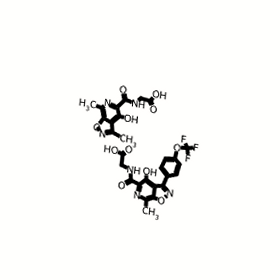 Cc1nc(C(=O)NCC(=O)O)c(O)c2c(-c3ccc(OC(F)(F)F)cc3)noc12.Cc1nc(C(=O)NCC(=O)O)c(O)c2c(C)noc12